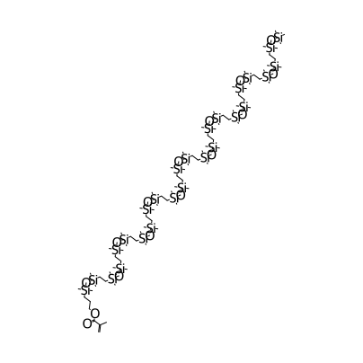 C=C(C)C(=O)OCCC[Si](C)(C)O[Si](C)(C)CC[Si](C)(C)O[Si](C)(C)CC[Si](C)(C)O[Si](C)(C)CC[Si](C)(C)O[Si](C)(C)CC[Si](C)(C)O[Si](C)(C)CC[Si](C)(C)O[Si](C)(C)CC[Si](C)(C)O[Si](C)(C)CC[Si](C)(C)O[Si](C)(C)CC[Si](C)(C)O[Si](C)(C)CC[Si](C)(C)O[Si](C)(C)CC[Si](C)(C)O[Si](C)(C)CC[Si](C)(C)O[Si](C)(C)CC[Si](C)(C)O[Si](C)(C)C